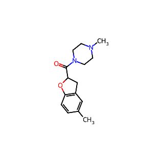 Cc1ccc2c(c1)CC(C(=O)N1CCN(C)CC1)O2